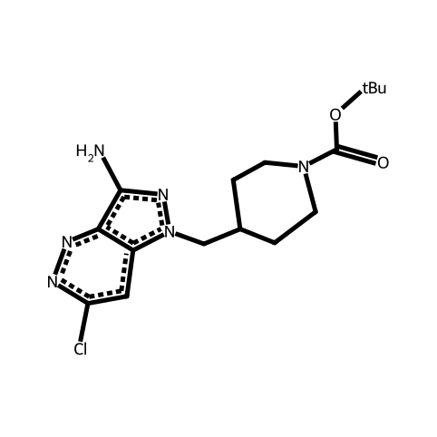 CC(C)(C)OC(=O)N1CCC(Cn2nc(N)c3nnc(Cl)cc32)CC1